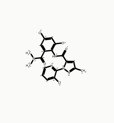 Cc1cc(C(=O)Nc2c(Cl)cc(Cl)cc2C(=O)N(C)C)n(-c2ncccc2Cl)n1